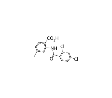 Cc1ccc(C(=O)O)c(NC(=O)c2ccc(Cl)cc2Cl)c1